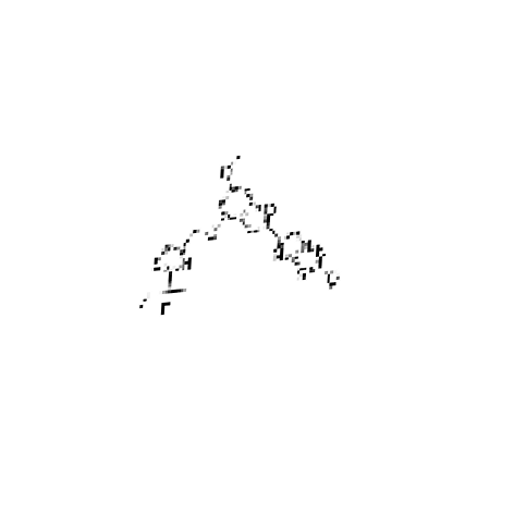 CCC(C)(F)c1nc(COc2cc(OC)cc3oc(-c4cn5nc(OC)sc5n4)cc23)cs1